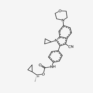 C[C@@H](OC(=O)Nc1ccc(-c2c(C#N)c3ccc(N4CCOCC4)cc3n2C2CC2)cc1)C1CC1